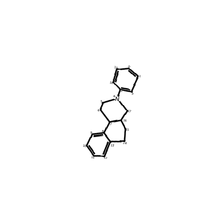 c1ccc(N2CCC3c4ccccc4CCC3C2)cc1